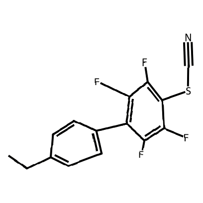 CCc1ccc(-c2c(F)c(F)c(SC#N)c(F)c2F)cc1